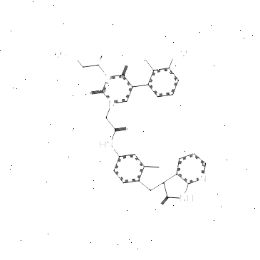 COC[C@@H](C)n1c(=O)c(-c2cccc(OC)c2Cl)cn(CC(=O)Nc2ccc3c(c2)C[C@@]2(C3)C(=O)Nc3ncccc32)c1=O